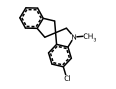 CN1CC2(Cc3ccccc3C2)c2ccc(Cl)cc21